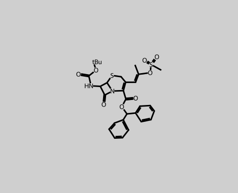 CC(=CC1=C(C(=O)OC(c2ccccc2)c2ccccc2)N2C(=O)C(NC(=O)OC(C)(C)C)C2SC1)OS(C)(=O)=O